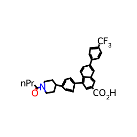 CCCC(=O)N1CCC(c2ccc(-c3cc(C(=O)O)cc4cc(-c5ccc(C(F)(F)F)cc5)ccc34)cc2)CC1